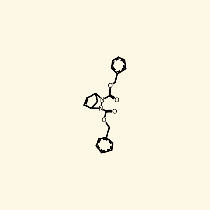 O=C(OCc1ccccc1)N1C2C=CC(C2)N1C(=O)OCc1ccccc1